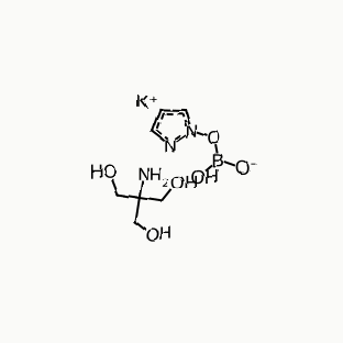 NC(CO)(CO)CO.[K+].[O-]B(O)On1cccn1